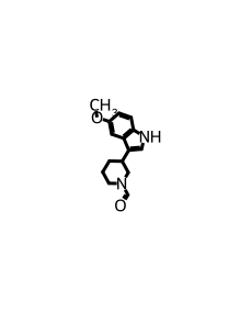 COc1ccc2[nH]cc(C3CCCN(C=O)C3)c2c1